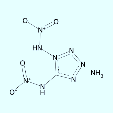 N.O=[N+]([O-])Nc1nnnn1N[N+](=O)[O-]